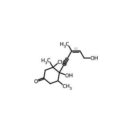 C/C(C#CC1(O)C(C)CC(=O)CC1(C)C)=C/CO